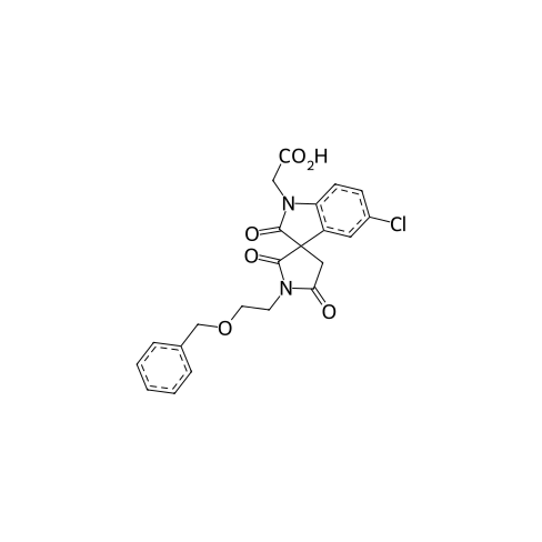 O=C(O)CN1C(=O)C2(CC(=O)N(CCOCc3ccccc3)C2=O)c2cc(Cl)ccc21